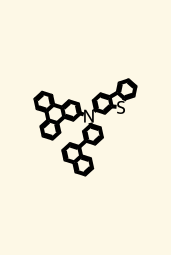 c1cc(-c2cccc3ccccc23)cc(N(c2ccc3c(c2)sc2ccccc23)c2ccc3c4ccccc4c4ccccc4c3c2)c1